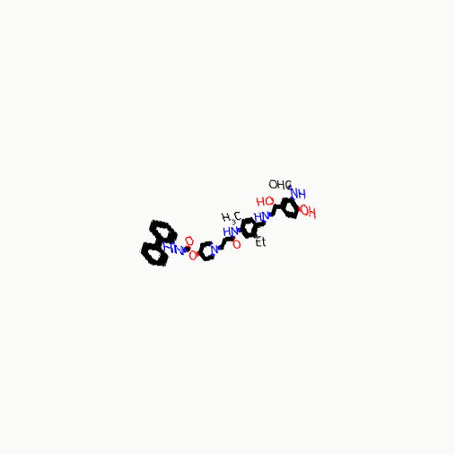 CCc1cc(NC(=O)CCN2CCC(OC(=O)Nc3ccccc3-c3ccccc3)CC2)c(C)cc1CNC[C@@H](O)c1ccc(O)c(NC=O)c1